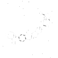 CC1COCCN1c1ccc(CN2CC3CN(C(=O)ON4C(=O)CCC4=O)CC3C2)c(Cl)c1